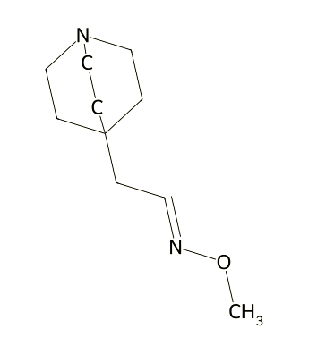 CON=CCC12CCN(CC1)CC2